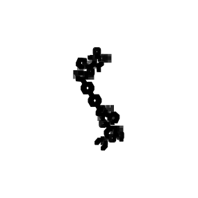 CCN(CC)CCC(NC(=O)OC)C(=O)N1CCCC1c1ncc(-c2ccc(-c3ccc(-c4cnc([C@@H]5CCCN5C(=O)[C@H](C(C)C)N(C)C(=O)O)[nH]4)cc3)cc2)[nH]1